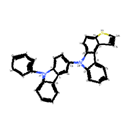 c1ccc(-n2c3ccccc3c3cc(-n4c5ccccc5c5c6ccsc6ccc54)ccc32)cc1